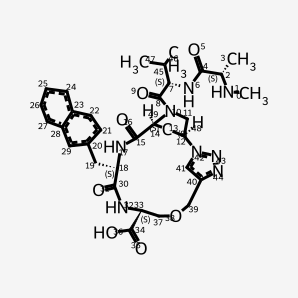 CN[C@@H](C)C(=O)N[C@H](C(=O)N1C[C@@H]2C[C@H]1C(=O)N[C@@H](Cc1ccc3ccccc3c1)C(=O)N[C@H](C(=O)O)COCc1cn2nn1)C(C)C